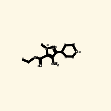 CCOC(=O)c1c(N)c(C2CCOCC2)nn1C